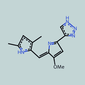 COC1=CC(c2c[nH]nn2)=N/C1=C\c1[nH]c(C)cc1C